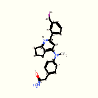 CN(c1ccc(CC(N)=O)cc1)c1cc(-c2cccc(CI)c2)nc2c1CCC2